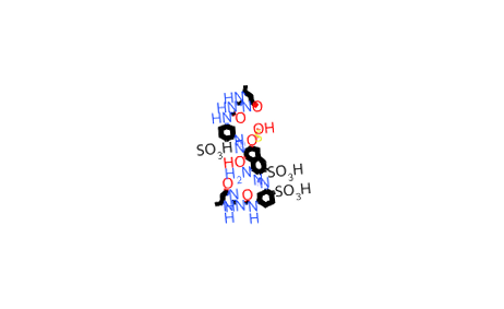 Cc1cc(=O)nc(NC(=O)Nc2ccc(S(=O)(=O)O)c(/N=N/c3c(S(=O)(=O)O)cc4cc(OSO)c(/N=N/c5cc(NC(=O)Nc6nc(=O)cc(C)[nH]6)ccc5S(=O)(=O)O)c(O)c4c3N)c2)[nH]1